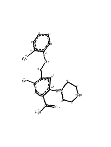 NC(=O)c1cc(Br)c(COc2ccccc2C(F)(F)F)cc1N1CCNCC1